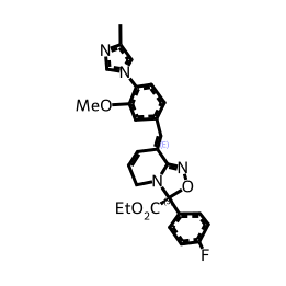 CCOC(=O)[C@]1(c2ccc(F)cc2)ON=C2/C(=C/c3ccc(-n4cnc(C)c4)c(OC)c3)C=CCN21